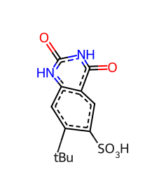 CC(C)(C)c1cc2[nH]c(=O)[nH]c(=O)c2cc1S(=O)(=O)O